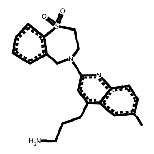 Cc1ccc2nc(N3CCS(=O)(=O)c4ccccc4C3)cc(CCCN)c2c1